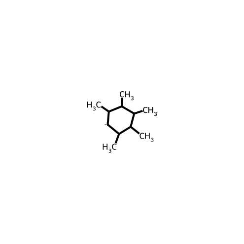 CC1[CH]C(C)C(C)C(C)C1C